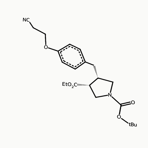 CCOC(=O)[C@H]1CN(C(=O)OC(C)(C)C)C[C@H]1Cc1ccc(OCCC#N)cc1